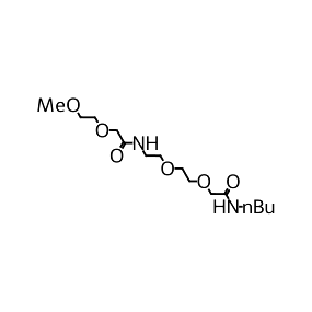 CCCCNC(=O)COCCOCCNC(=O)COCCOC